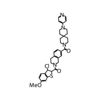 COc1ccc2c(c1)SC(C(=O)N1CCc3ccc(C(=O)N4CCC5(CC4)CCN(c4ccncc4)CC5)cc3C1)C2Cl